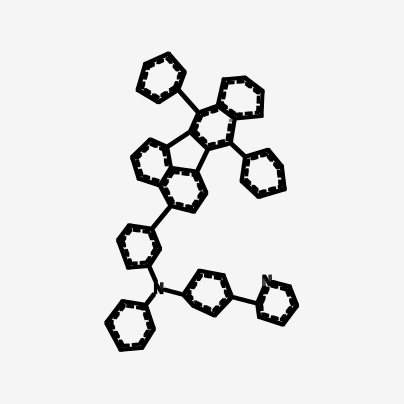 c1ccc(-c2c3c(c(-c4ccccc4)c4ccccc24)-c2ccc(-c4cccc(N(c5ccccc5)c5ccc(-c6ccccn6)cc5)c4)c4cccc-3c24)cc1